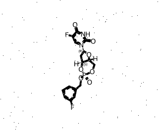 O=c1[nH]c(=O)n([C@H]2C[C@@H]3OP(=O)(OCc4cccc(F)c4)OC[C@H]3O2)cc1F